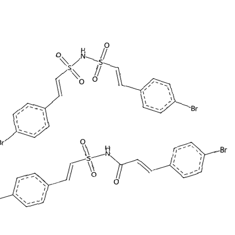 O=C(C=Cc1ccc(Br)cc1)NS(=O)(=O)C=Cc1ccc(Br)cc1.O=S(=O)(C=Cc1ccc(Br)cc1)NS(=O)(=O)C=Cc1ccc(Br)cc1